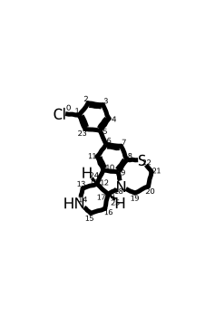 Clc1cccc(-c2cc3c4c(c2)[C@H]2CNCC[C@H]2N4CCCS3)c1